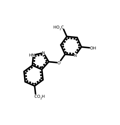 O=C(O)c1cc(O)nc(Oc2n[nH]c3ccc(C(=O)O)cc23)c1